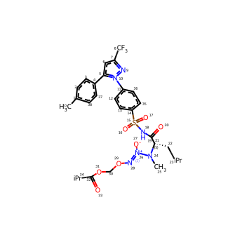 Cc1ccc(-c2cc(C(F)(F)F)nn2-c2ccc(S(=O)(=O)NC(=O)[C@H](CC(C)C)N(C)/[N+]([O-])=N/OCOC(=O)C(C)C)cc2)cc1